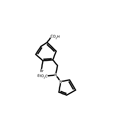 CCOC(=O)N(Cc1cc(C(=O)O)ccc1Br)n1cccc1